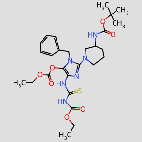 CCOC(=O)NC(=S)Nc1nc(N2CCCC(NC(=O)OC(C)(C)C)C2)n(Cc2ccccc2)c1OC(=O)OCC